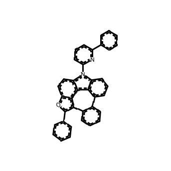 c1ccc(-c2cccc(-n3c4cccc5c4c4c6c(c(-c7ccccc7)oc6ccc43)-c3ccccc3-5)n2)cc1